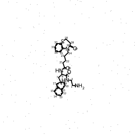 NCCNC(=O)C(Cc1ccc2ccccc2c1)NC(=O)CCCCN1C(=O)CCSc2ccccc21